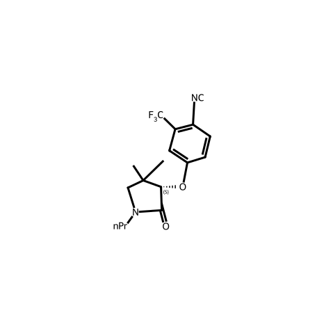 [C-]#[N+]c1ccc(O[C@@H]2C(=O)N(CCC)CC2(C)C)cc1C(F)(F)F